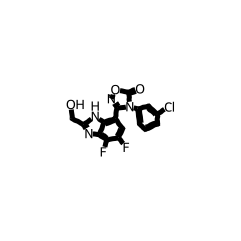 O=c1onc(-c2cc(F)c(F)c3nc(CO)[nH]c23)n1-c1cccc(Cl)c1